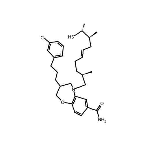 C[C@H](CC/C=C/C[C@H](C)[C@@H](C)S)CN1CC(CCCc2cccc(Cl)c2)COc2ccc(C(N)=O)cc21